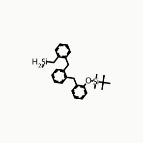 C[SiH2]Cc1ccccc1Cc1ccccc1Cc1ccccc1O[Si](C)(C)C(C)(C)C